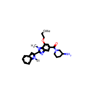 CCn1c(-c2nc3cc(C(=O)N4CCCC(N)C4)cc(OCCOC)c3n2C)cc2ccccc21